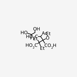 CC(O)CO.CCOC(C(=O)O)(C(C(C)=O)C(=O)O)C(CC)(CC)C(=O)O